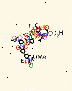 C#CCN1C(=O)COc2cc(F)c(N3C(=O)C4=C(CCCC4)C3=O)cc21.CC1COc2ccccc2N1C(=O)C(Cl)Cl.CCc1cccc(C)c1N(C(=O)CCl)C(C)COC.CP(=O)(O)CCC(N)C(=O)O.CS(=O)(=O)c1cc(C(F)(F)F)ccc1C(=O)c1cnoc1C1CC1